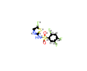 O=S(=O)(Nc1ncc(F)s1)c1cc(F)c(F)cc1F